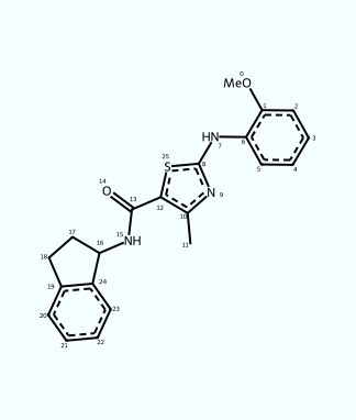 COc1ccccc1Nc1nc(C)c(C(=O)NC2CCc3ccccc32)s1